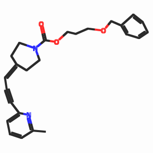 Cc1cccc(C#CC=C2CCN(C(=O)OCCCOCc3ccccc3)CC2)n1